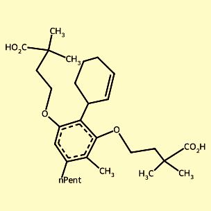 CCCCCc1cc(OCCC(C)(C)C(=O)O)c(C2C=CCCC2)c(OCCC(C)(C)C(=O)O)c1C